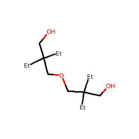 CCC(CC)(CO)COCC(CC)(CC)CO